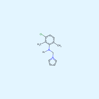 CC(=O)N(Cn1cccc1)c1c(C)ccc(Cl)c1C